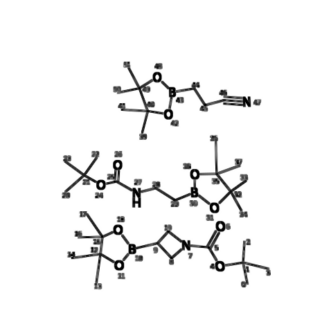 CC(C)(C)OC(=O)N1CC(B2OC(C)(C)C(C)(C)O2)C1.CC(C)(C)OC(=O)NCCB1OC(C)(C)C(C)(C)O1.CC1(C)OB(CCC#N)OC1(C)C